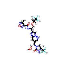 COC[C@H](c1cnn2cc([C@H](COC(C)(C)C(F)(F)F)NC(=O)c3nonc3C)nc2c1)N1C[C@@](C)(C(F)(F)F)NC1=O